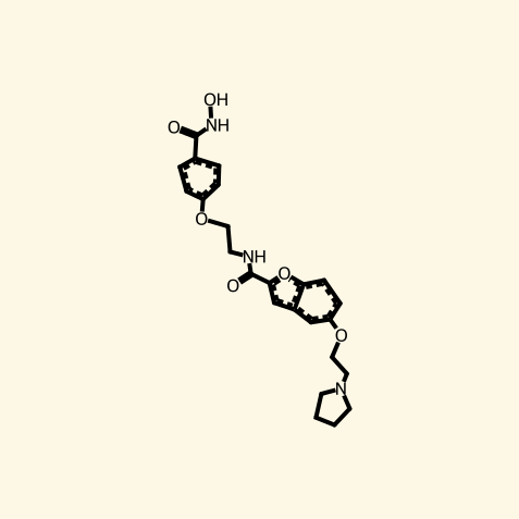 O=C(NO)c1ccc(OCCNC(=O)c2cc3cc(OCCN4CCCC4)ccc3o2)cc1